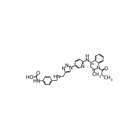 CCC(=O)N1c2ccccc2[C@H](Nc2ccc(-n3cc(CNCc4ccc(NC(=O)O)cc4)nn3)cn2)C[C@@H]1C